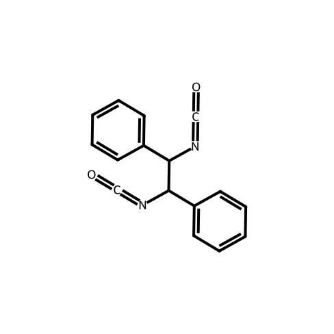 O=C=NC(c1ccccc1)C(N=C=O)c1ccccc1